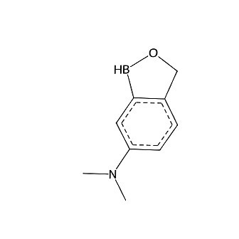 CN(C)c1ccc2c(c1)BOC2